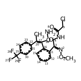 CO/N=C(/C(=O)NC(=O)CCl)c1ccccc1/C(ON)=C(/C)c1ccc(C(F)(F)F)cc1